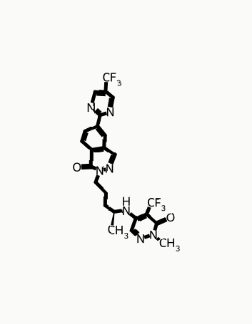 C[C@@H](CCCn1ncc2cc(-c3ncc(C(F)(F)F)cn3)ccc2c1=O)Nc1cnn(C)c(=O)c1C(F)(F)F